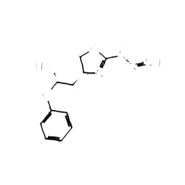 C[C@@H](C[C@H]1COC(NN=N)=N1)Oc1ccccc1